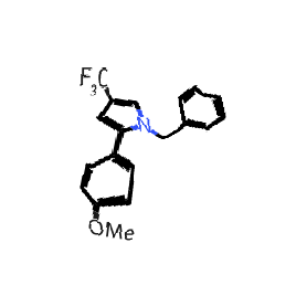 COc1ccc(-c2cc(C(F)(F)F)cn2Cc2ccccc2)cc1